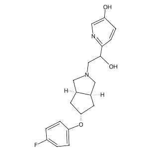 Oc1ccc(C(O)CN2C[C@H]3C[C@H](Oc4ccc(F)cc4)C[C@H]3C2)nc1